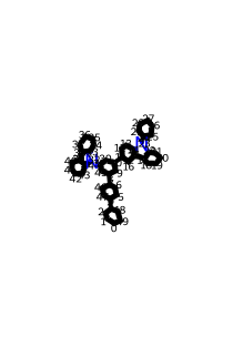 c1ccc(-c2ccc(-c3cc(-c4ccc5c(c4)c4ccccc4n5-c4ccccc4)cc(-n4c5ccccc5c5ccccc54)c3)cc2)cc1